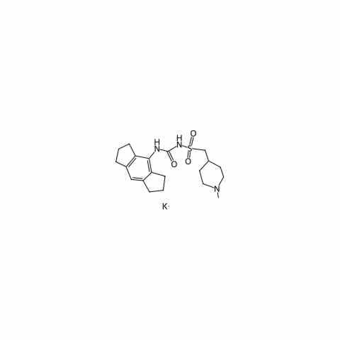 CN1CCC(CS(=O)(=O)NC(=O)Nc2c3c(cc4c2CCC4)CCC3)CC1.[K]